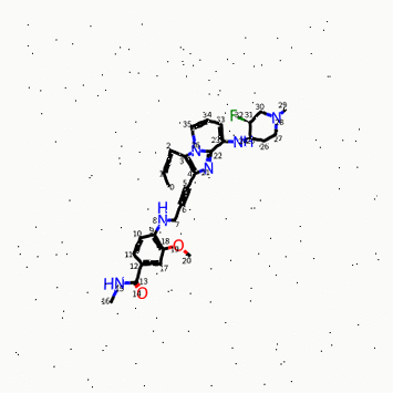 C/C=C\c1c(C#CCNc2ccc(C(=O)NC)cc2OC)nc2c(N[C@@H]3CCN(C)C[C@@H]3F)cccn12